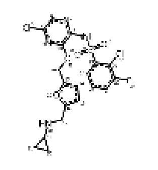 O=S(=O)(Nc1ncc(Cl)nc1OCc1ccc(CNC2CC2)o1)c1cccc(Cl)c1Cl